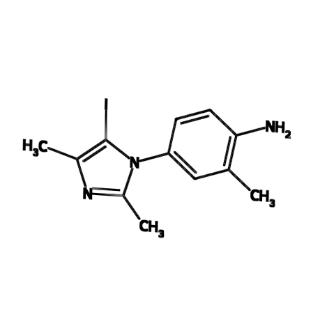 Cc1cc(-n2c(C)nc(C)c2I)ccc1N